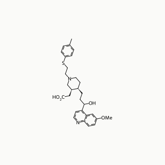 COc1ccc2nccc(C(O)CC[C@@H]3CCN(CCSc4ccc(C)cc4)C[C@@H]3CC(=O)O)c2c1